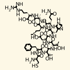 CSCC[C@H](NC(=O)[C@H](CCC(N)=O)NC(=O)[C@H](Cc1c[nH]cn1)NC(=O)[C@H](CC(=O)O)NC(=O)[C@@H](NC(=O)[C@@H](NC(=O)[C@H](Cc1ccccc1)NC(=O)[C@@H](N)CS)[C@@H](C)O)[C@@H](C)O)C(=O)N[C@@H](C)C(=O)N[C@@H](CCCNC(=N)N)C(=O)O